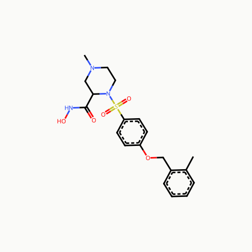 Cc1ccccc1COc1ccc(S(=O)(=O)N2CCN(C)CC2C(=O)NO)cc1